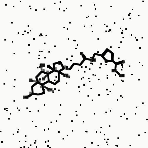 CC12CCC3[C@@H]([C@@H](O)C[C@@H]4C[C@H](O)CC[C@]34C)[C@@H]1CC[C@@H]2CCCC(=O)NCc1ccc(C(=O)NO)o1